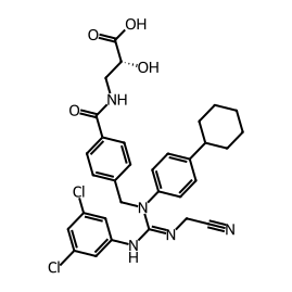 N#CC/N=C(/Nc1cc(Cl)cc(Cl)c1)N(Cc1ccc(C(=O)NC[C@@H](O)C(=O)O)cc1)c1ccc(C2CCCCC2)cc1